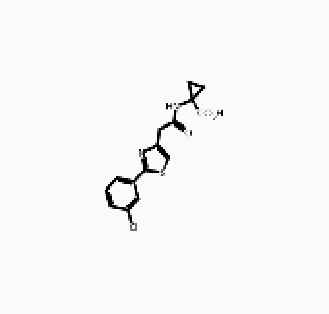 O=C(Cc1csc(-c2cccc(Cl)c2)n1)NC1(C(=O)O)CC1